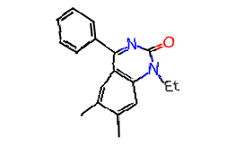 CCn1c(=O)nc(-c2ccccc2)c2cc(C)c(C)cc21